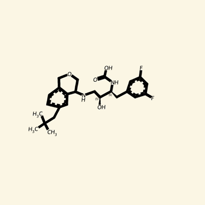 CC(C)(C)Cc1ccc2c(c1)C(NC[C@H](O)[C@H](Cc1cc(F)cc(F)c1)NC(=O)O)COC2